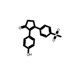 CS(=O)(=O)c1ccc(C2=C(c3ccc(O)cc3)C(=O)CC2)cc1